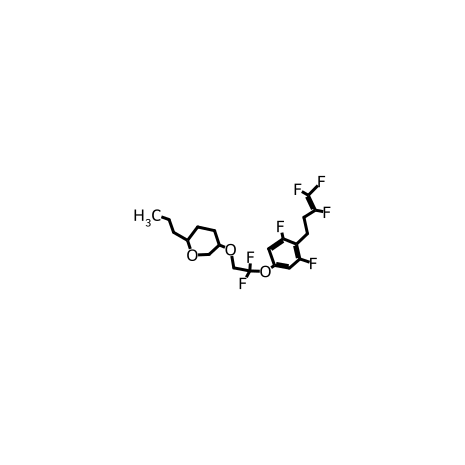 CCCC1CCC(OCC(F)(F)Oc2cc(F)c(CCC(F)=C(F)F)c(F)c2)CO1